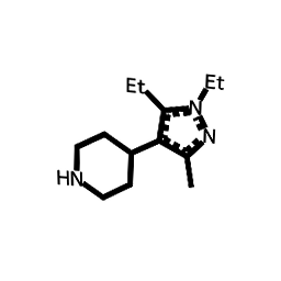 CCc1c(C2CCNCC2)c(C)nn1CC